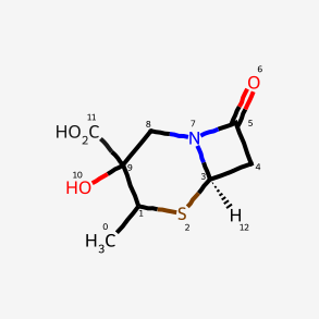 CC1S[C@@H]2CC(=O)N2CC1(O)C(=O)O